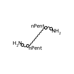 CCCCCc1cc(Cc2ccc(N)cc2)ccc1CCCCCCCCCCCCCCCCc1ccc(Cc2ccc(N)cc2)cc1CCCCC